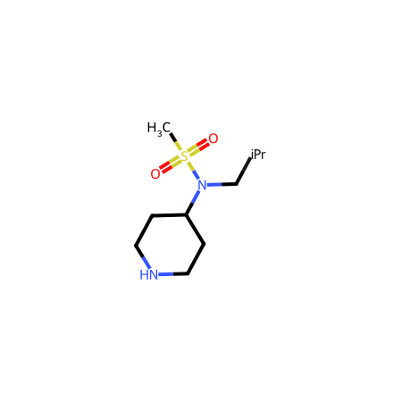 CC(C)CN(C1CCNCC1)S(C)(=O)=O